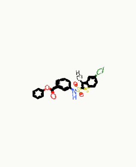 Cc1c(S(=O)(=O)Nc2cccc(C(=O)Oc3ccccc3)c2)sc2ccc(Cl)cc12